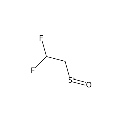 O=[S+]CC(F)F